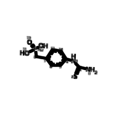 NC(=S)Nc1ccc(CP(=O)(O)O)cc1